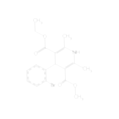 CCOC(=O)C1=C(C)NC(C)=C(C(=O)OC)C1c1ccccc1Br